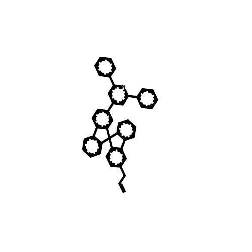 C=CCc1ccc2c(c1)-c1ccccc1C21c2ccccc2-c2ccc(-c3cc(-c4ccccc4)nc(-c4ccccc4)c3)cc21